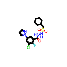 O=C(NNS(=O)(=O)CC1CCCCC1)c1cc(-n2cccn2)cc(Cl)c1F